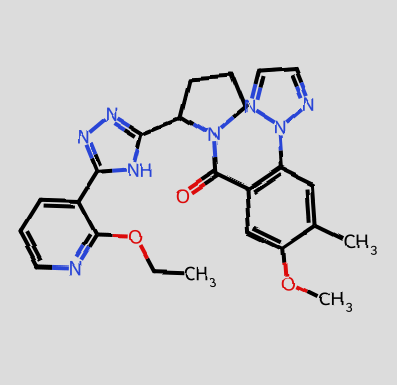 CCOc1ncccc1-c1nnc(C2CCCN2C(=O)c2cc(OC)c(C)cc2-n2nccn2)[nH]1